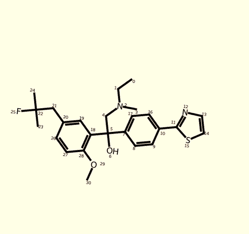 CCN(C)CC(O)(c1ccc(-c2nccs2)cc1)c1cc(CC(C)(C)F)ccc1OC